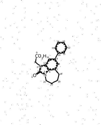 O=C(O)Cn1c(=O)n2c3c(cc(-c4ccccc4)cc31)CCCC2